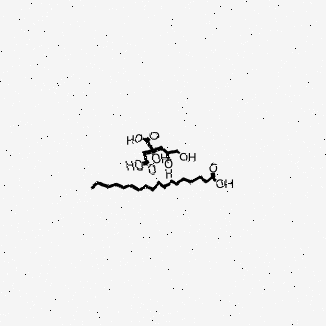 CCCCCCCCCCCCCCCCCC(=O)O.O=C(O)CC(O)(CC(O)CO)C(=O)O